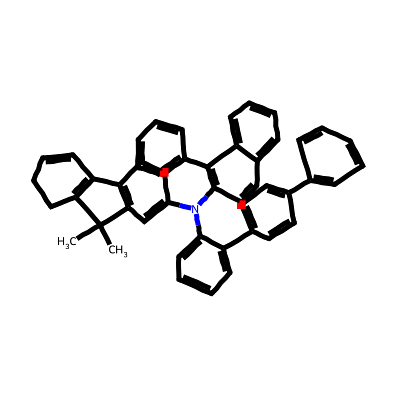 CC1(C)C2=C(C=CCC2)c2ccc(N(c3ccccc3-c3ccc(-c4ccccc4)cc3)c3ccc4ccccc4c3-c3ccccc3)cc21